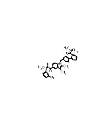 Cc1c(C)n(Cc2ccc(-c3ccccc3C(=O)N(C)C)cc2)c2ccc(C(=O)N[C@@H](C)c3cccc(C(C)C)c3)cc12